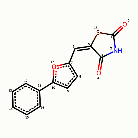 O=C1NC(=O)/C(=C\c2ccc(-c3ccccc3)o2)S1